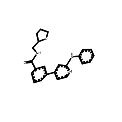 O=C(NCC1CCCO1)c1cccc(-c2ccnc(Nc3ccccc3)c2)c1